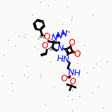 C=CC[C@H]1CN(c2c(NCCNC(=O)OC(C)(C)C)c(=O)c2=O)C[C@@]1(N=[N+]=[N-])C(=O)O[C@H](C)c1ccccc1